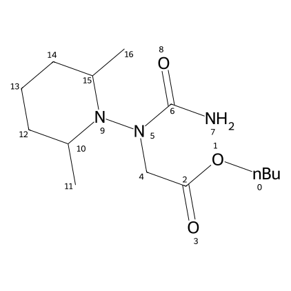 CCCCOC(=O)CN(C(N)=O)N1C(C)CCCC1C